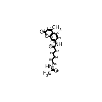 Cc1cc(=O)oc2cc(NC(=O)[CH]CCCCNC(=O)C(F)(F)F)ccc12